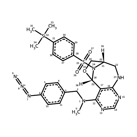 CN(Cc1ccc(N=[N+]=[N-])cc1)c1ncnc2c1[C@@H]1OC[C@H](CN2)N1S(=O)(=O)c1ccc([Si](C)(C)C)cc1